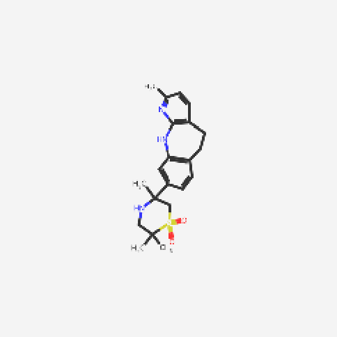 Cc1ccc2c(n1)Nc1cc(C3(C)CS(=O)(=O)C(C)(C)CN3)ccc1CC2